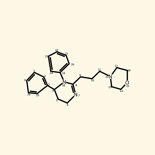 c1ccc(C2CCN=C(CCCN3CCOCC3)N2c2ccccc2)cc1